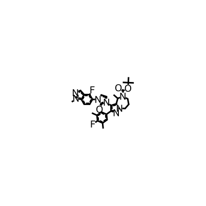 Cc1cc(-c2nn3c(c2-n2ccn(-c4ccc5c(cnn5C)c4F)c2=O)C(C)N(C(=O)OC(C)(C)C)CCC3)cc(C)c1F